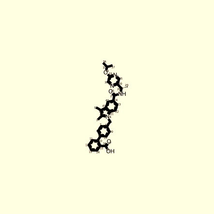 Cc1c(C)n(Cc2ccc(-c3ccccc3C(=O)O)cc2)c2ccc(C(=O)N[C@@H](C)c3cnc(OC(C)C)cn3)cc12